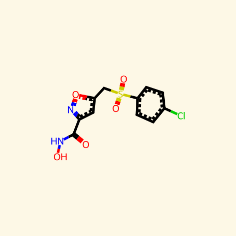 O=C(NO)c1cc(CS(=O)(=O)c2ccc(Cl)cc2)on1